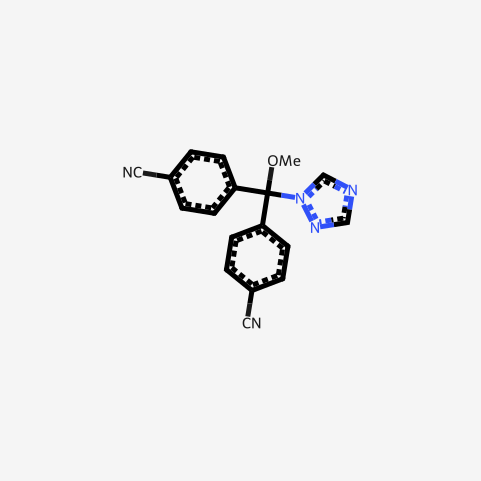 COC(c1ccc(C#N)cc1)(c1ccc(C#N)cc1)n1cncn1